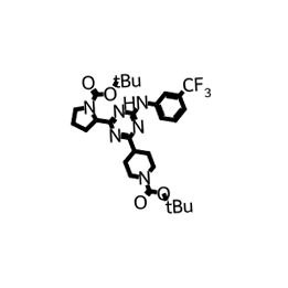 CC(C)(C)OC(=O)N1CCC(c2nc(Nc3cccc(C(F)(F)F)c3)nc(C3CCCN3C(=O)OC(C)(C)C)n2)CC1